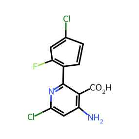 Nc1cc(Cl)nc(-c2ccc(Cl)cc2F)c1C(=O)O